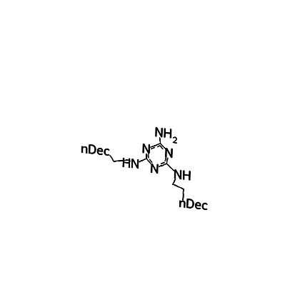 CCCCCCCCCCCCNc1nc(N)nc(NCCCCCCCCCCCC)n1